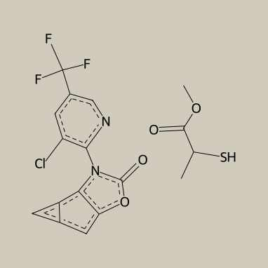 COC(=O)C(C)S.O=c1oc2cc3cc-3c2n1-c1ncc(C(F)(F)F)cc1Cl